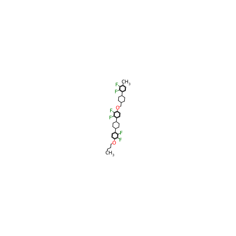 CCCCOc1ccc(C2CCC(c3ccc(OCC4CCC(c5ccc(C)c(F)c5F)CC4)c(F)c3F)CC2)c(F)c1F